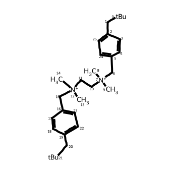 CC(C)(C)Cc1ccc(C[N+](C)(C)CC[N+](C)(C)Cc2ccc(CC(C)(C)C)cc2)cc1